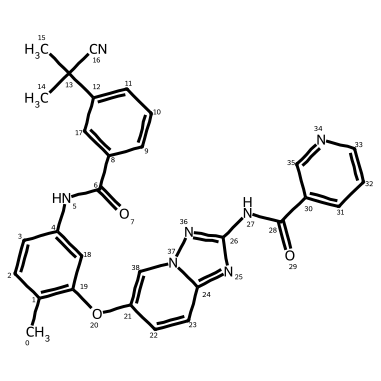 Cc1ccc(NC(=O)c2cccc(C(C)(C)C#N)c2)cc1Oc1ccc2nc(NC(=O)c3cccnc3)nn2c1